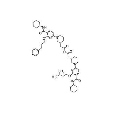 CC(C)CCOc1nc(N2CCC[C@@H](CC(=O)OC(=O)C[C@@H]3CCCN(c4ccc(C(=O)NC5CCCCC5)c(OCCCc5ccccc5)n4)C3)C2)ccc1C(=O)NC1CCCCC1